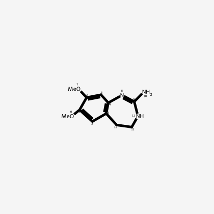 COc1cc2c(cc1OC)N=C(N)NCC2